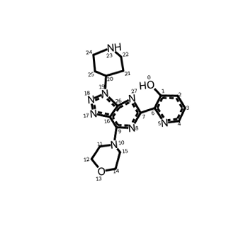 Oc1cccnc1-c1nc(N2CCOCC2)c2nnn(C3CCNCC3)c2n1